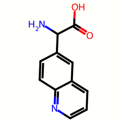 NC(C(=O)O)c1ccc2ncccc2c1